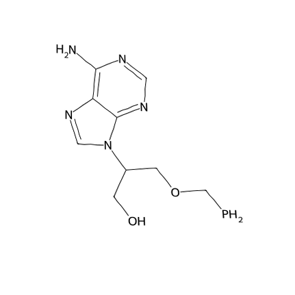 Nc1ncnc2c1ncn2C(CO)COCP